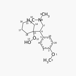 COc1ccc(C(CN(C)C)C2(OO)CCCCC2)cc1